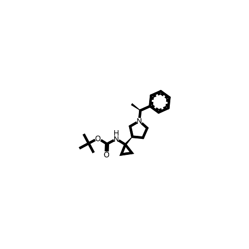 C[C@@H](c1ccccc1)N1CC[C@@H](C2(NC(=O)OC(C)(C)C)CC2)C1